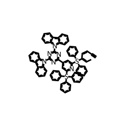 C#C/C=C\C(=C/C)S(c1ccccc1)(c1ccccc1)c1cc(-c2nc(-n3c4ccccc4c4ccccc43)nc(-n3c4ccccc4c4ccccc43)n2)cc(S(c2ccccc2)(c2ccccc2)c2ccccc2)n1